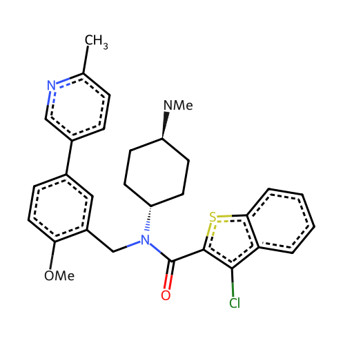 CN[C@H]1CC[C@H](N(Cc2cc(-c3ccc(C)nc3)ccc2OC)C(=O)c2sc3ccccc3c2Cl)CC1